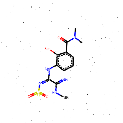 CN(C)C(=O)c1cccc(N/C(=N/[SH](=O)=O)C(=N)NC(C)(C)C)c1O